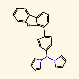 c1ccc2c(c1)[nH]c1c(-c3ccc(C(n4cccc4)n4cccc4)cc3)cccc12